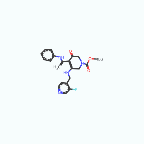 C=C(Nc1ccccc1)C1=C(NCc2ccncc2F)CN(C(=O)OC(C)(C)C)CC1=O